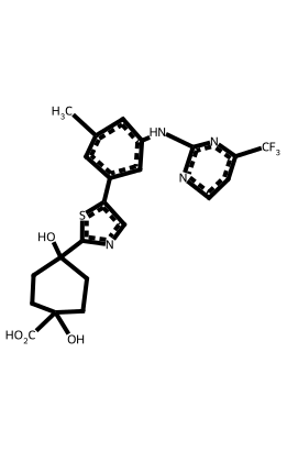 Cc1cc(Nc2nccc(C(F)(F)F)n2)cc(-c2cnc(C3(O)CCC(O)(C(=O)O)CC3)s2)c1